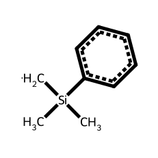 [CH2][Si](C)(C)c1ccccc1